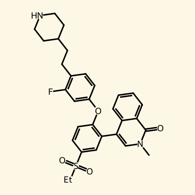 CCS(=O)(=O)c1ccc(Oc2ccc(CCC3CCNCC3)c(F)c2)c(-c2cn(C)c(=O)c3ccccc23)c1